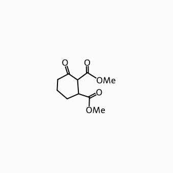 COC(=O)C1CCCC(=O)C1C(=O)OC